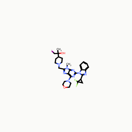 Cn1c(CN2CCC(C(C)(O)CI)CC2)nc2c(N3CCOCC3)nc(-n3c(C4CC4(F)F)nc4ccccc43)nc21